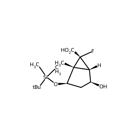 CC(C)(C)[Si](C)(C)O[C@@H]1C[C@H](O)[C@@H]2[C@@]1(C)[C@@]2(F)C(=O)O